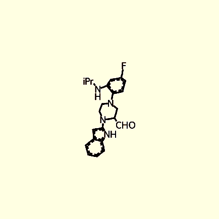 CC(C)Nc1cc(F)ccc1N1CCN(c2cc3ccccc3[nH]2)C(C=O)C1